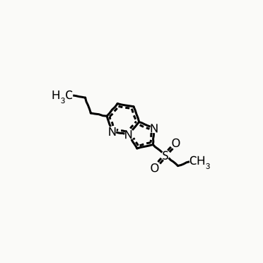 CCCc1ccc2nc(S(=O)(=O)CC)cn2n1